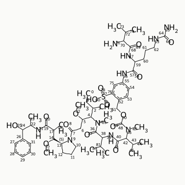 CCC(C)C(C(CC(=O)N1CCC[C@H]1C(OC)C(C)C(=O)NC(C)C(O)c1ccccc1)OC)N(C)C(=O)C(NC(=O)C(C(C)C)N(C)C(=O)OCc1ccc(NC(=O)C(CCCNC(N)=O)NC(=O)C(N)C(C)C)cc1S(=O)(=O)O)C(C)C